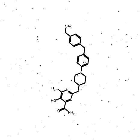 CC(=O)OCc1ccc(Cc2ccc(N3CCC(Cc4nc(C)c(O)c(C(N)=O)n4)CC3)cc2)cc1